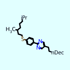 CCCCCCCCCCCCc1cnc(-c2ccc(SCCC(C)CCCC(C)C)cc2)nc1